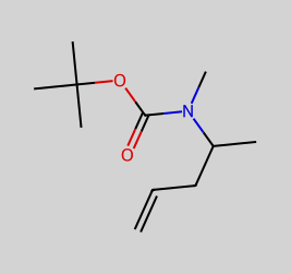 C=CCC(C)N(C)C(=O)OC(C)(C)C